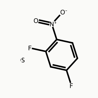 O=[N+]([O-])c1ccc(F)cc1F.[S]